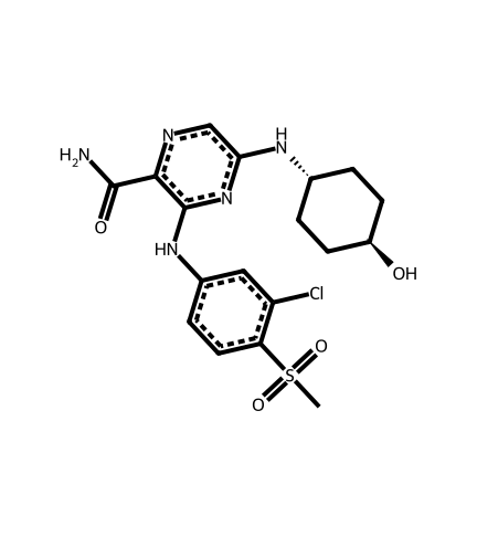 CS(=O)(=O)c1ccc(Nc2nc(N[C@H]3CC[C@H](O)CC3)cnc2C(N)=O)cc1Cl